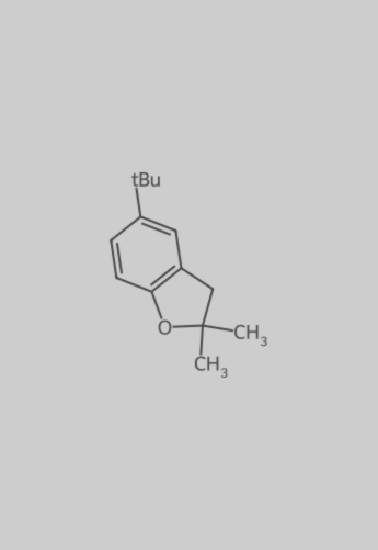 CC1(C)Cc2cc(C(C)(C)C)ccc2O1